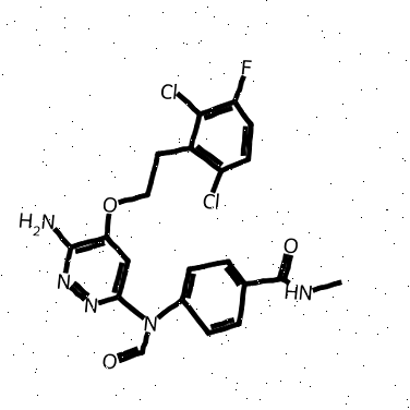 CNC(=O)c1ccc(N(C=O)c2cc(OCCc3c(Cl)ccc(F)c3Cl)c(N)nn2)cc1